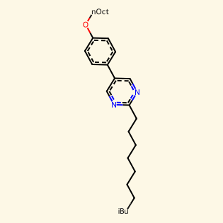 CCCCCCCCOc1ccc(-c2cnc(CCCCCCCC(C)CC)nc2)cc1